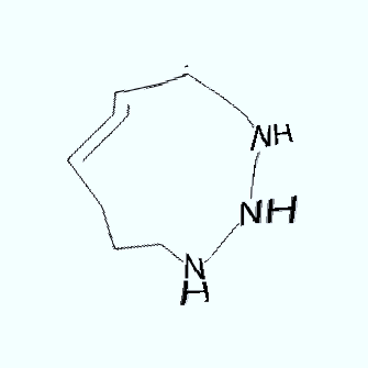 [CH]1C=CCNNN1